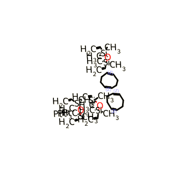 C1=C\CC/C=C\CC/1.C1=C\CC/C=C\CC/1.C=C[Si](C)(C)O[Si](C)(C)C=C.C=C[Si](C)(C)O[Si](C)(C)C=C.C=C[Si](C)(C)O[Si](C)(C)C=C.[Pt].[Pt].[Pt]